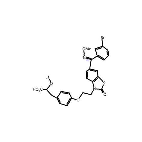 CCOC(Cc1ccc(OCCn2c(=O)sc3cc(/C(=N/OC)c4cccc(Br)c4)ccc32)cc1)C(=O)O